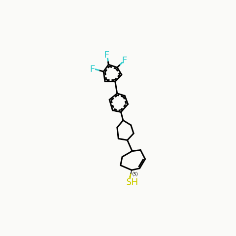 Fc1cc(-c2ccc(C3CCC(C4CC=C[C@@H](S)CC4)CC3)cc2)cc(F)c1F